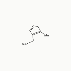 CCCCCC1=[C]([Mn])CC=C1